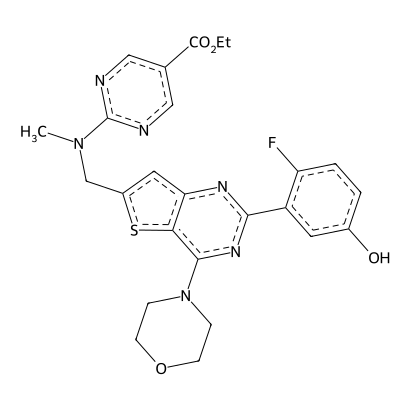 CCOC(=O)c1cnc(N(C)Cc2cc3nc(-c4cc(O)ccc4F)nc(N4CCOCC4)c3s2)nc1